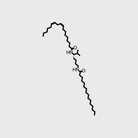 CCCCC/C=C\C/C=C\CCCCCCCC(=O)N[C@@H](CCCCNC(=O)CCCCCCCCCCCCCCC)C(C)C